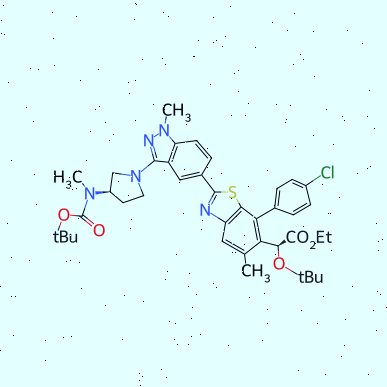 CCOC(=O)[C@@H](OC(C)(C)C)c1c(C)cc2nc(-c3ccc4c(c3)c(N3CC[C@@H](N(C)C(=O)OC(C)(C)C)C3)nn4C)sc2c1-c1ccc(Cl)cc1